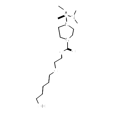 C=P(OC)(N(C)C)N1CCN(C(=O)OCCOCCCCCO)CC1